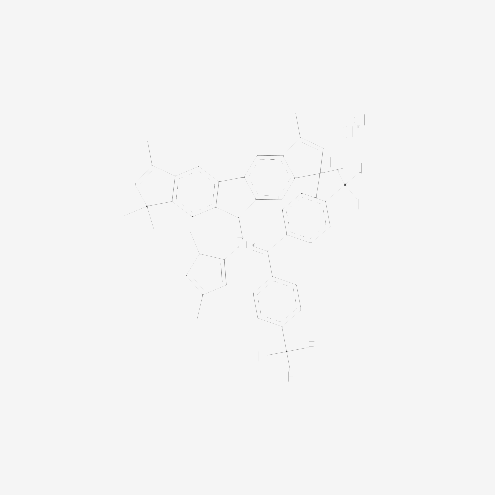 CC1=CC(C)[C]([Zr+2](=[C](c2ccc(C(F)(F)F)cc2)c2ccc(C(F)(F)F)cc2)[CH]2c3cc4c(cc3-c3cc5c(cc32)C(C)(C)C=C5C)C(C)=CC4(C)C)=C1.[Cl-].[Cl-]